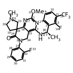 COc1nc(N[C@H](C)c2cccc(C(F)(F)F)c2F)c2c(n1)C1(CCN(C)C1)C(=O)N(c1ccccc1F)C2